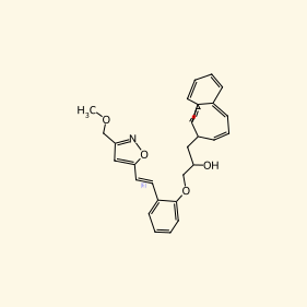 COCc1cc(/C=C/c2ccccc2OCC(O)CC2C=CC=C3C=CC=CC34CC=CC=C24)on1